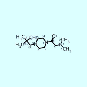 CN(C)CC(=O)N1CCN(CC(C)(C)C)CC1